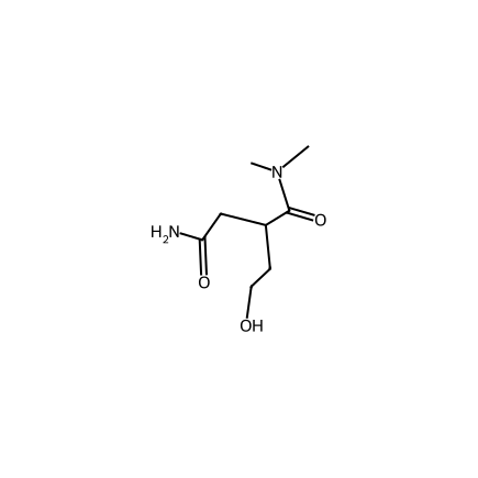 CN(C)C(=O)C(CCO)CC(N)=O